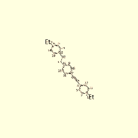 CCc1ccc(C#Cc2ccc(CCc3ccc(CC)cc3)cc2)cc1